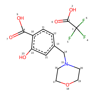 O=C(O)C(F)(F)F.O=C(O)c1ccc(CN2CCOCC2)cc1O